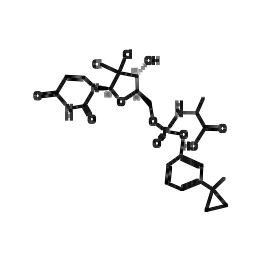 CC(NP(=O)(OC[C@H]1O[C@@H](n2ccc(=O)[nH]c2=O)C(Cl)(Cl)[C@@H]1O)Oc1cccc(C2(C)CC2)c1)C(=O)O